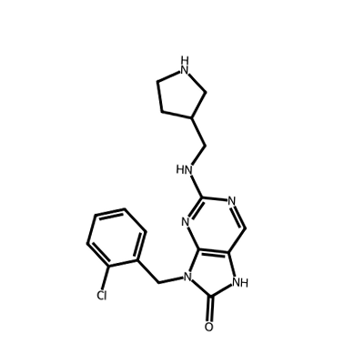 O=c1[nH]c2cnc(NCC3CCNC3)nc2n1Cc1ccccc1Cl